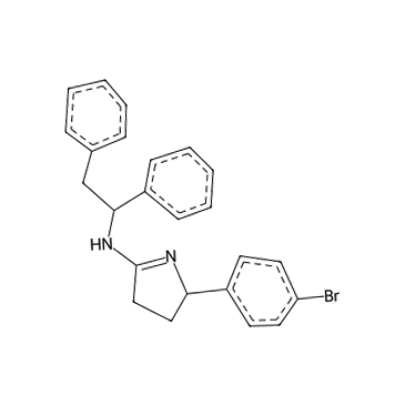 Brc1ccc(C2CCC(NC(Cc3ccccc3)c3ccccc3)=N2)cc1